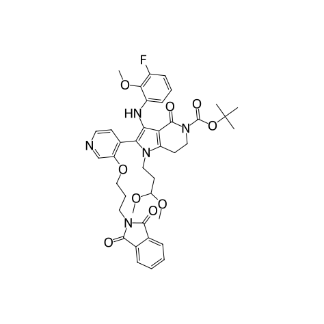 COc1c(F)cccc1Nc1c2c(n(CCC(OC)OC)c1-c1ccncc1OCCCN1C(=O)c3ccccc3C1=O)CCN(C(=O)OC(C)(C)C)C2=O